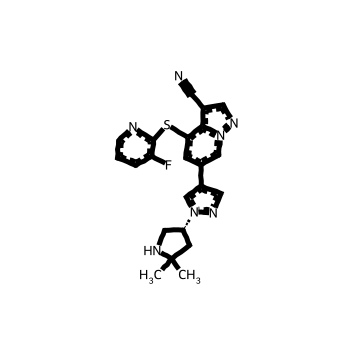 CC1(C)C[C@@H](n2cc(-c3cc(Sc4ncccc4F)c4c(C#N)cnn4c3)cn2)CN1